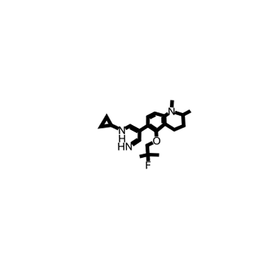 CC1CCc2c(ccc(/C(C=N)=C/NC3CC3)c2OCC(C)(C)F)N1C